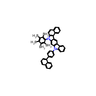 Bc1c(B)c(B)c(-n2c3cc4c(cc3c3c5ccccc5ccc32)c2ccccc2n4-c2ccc(-c3cccc4ccccc34)cc2)c(B)c1B